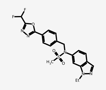 CCn1ncc2ccc(N(Cc3ccc(-c4nnc(C(F)F)o4)cc3)S(C)(=O)=O)cc21